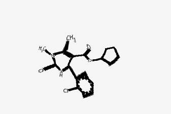 CC1=C(C(=O)OC2CCCC2)C(c2ccccc2Cl)NC(=O)N1C